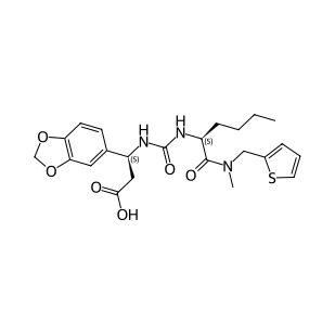 CCCC[C@H](NC(=O)N[C@@H](CC(=O)O)c1ccc2c(c1)OCO2)C(=O)N(C)Cc1cccs1